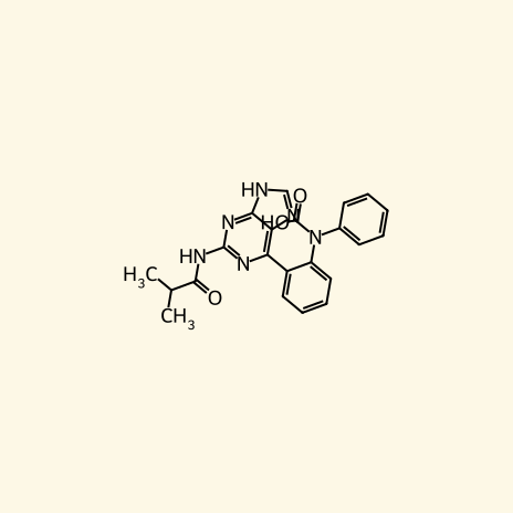 CC(C)C(=O)Nc1nc(-c2ccccc2N(C(=O)O)c2ccccc2)c2nc[nH]c2n1